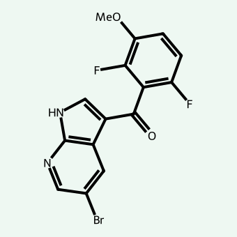 COc1ccc(F)c(C(=O)c2c[nH]c3ncc(Br)cc23)c1F